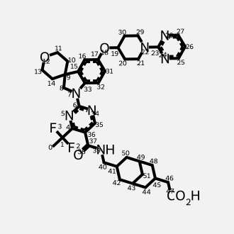 CC(F)(F)c1nc(N2CC3(CCOCC3)c3cc(OC4CCN(c5ncccn5)CC4)ccc32)ncc1C(=O)NCC1CC2CC(CC(=O)O)CC(C1)C2